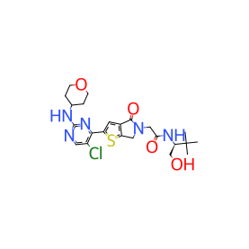 CC(C)(C)[C@@H](CO)NC(=O)CN1Cc2sc(-c3nc(NC4CCOCC4)ncc3Cl)cc2C1=O